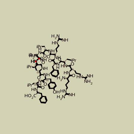 CC[C@H](C)[C@H](NC(=O)[C@H](CC(C)C)NC(=O)[C@H](CCCNC(=N)N)NC(=O)[C@H](Cc1ccccc1)NC(=O)[C@H](CC(C)C)NC(=O)[C@H](CCCNC(=N)N)NC(=O)[C@@H](N)CCCNC(=N)N)C(=O)N[C@@H](CC(C)C)C(=O)N[C@@H](CCCNC(=N)N)C(=O)N[C@@H](Cc1ccc(O)cc1)C(=O)N[C@@H](CC(C)C)C(=O)N[C@@H](Cc1ccccc1)C(=O)O